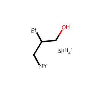 CCCCC(CC)CO.[SnH2]